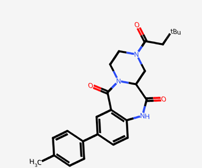 Cc1ccc(-c2ccc3c(c2)C(=O)N2CCN(C(=O)CC(C)(C)C)CC2C(=O)N3)cc1